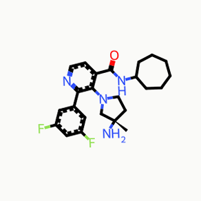 C[C@]1(N)CCN(c2c(C(=O)NC3CCCCCC3)ccnc2-c2cc(F)cc(F)c2)C1